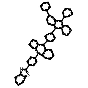 c1ccc(-c2ccc3c(-c4ccc(-c5c6ccccc6c(-c6ccc(-c7nc8ccccc8s7)cc6)c6ccccc56)cc4)c4ccccc4c(-c4ccccc4)c3c2)cc1